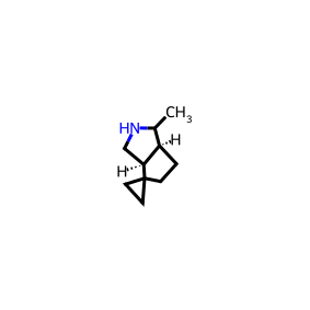 CC1NC[C@H]2[C@@H]1CCC21CC1